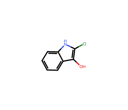 Oc1c(Cl)[nH]c2ccccc12